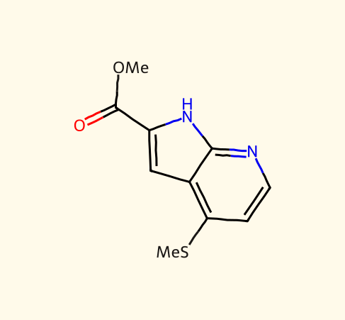 COC(=O)c1cc2c(SC)ccnc2[nH]1